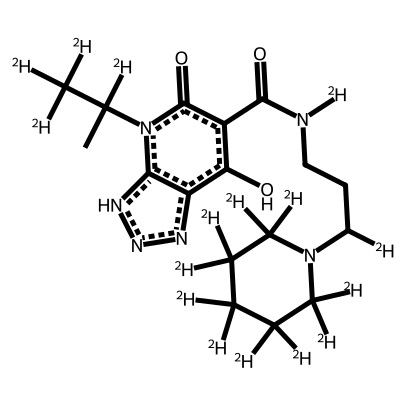 [2H]C(CCN([2H])C(=O)c1c(O)c2nn[nH]c2n(C([2H])(C)C([2H])([2H])[2H])c1=O)N1C([2H])([2H])C([2H])([2H])C([2H])([2H])C([2H])([2H])C1([2H])[2H]